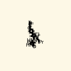 CC1=C(Nc2nc(CC(C)C)nc3sc(-c4ccc(OCCN(C)C)cc4)c(C)c23)C(=O)NC1=O.Cl